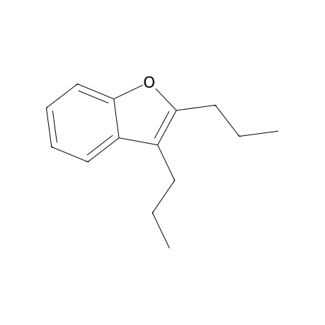 CCCc1oc2ccccc2c1CCC